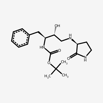 CC(C)(C)OC(=O)N[C@@H](Cc1ccccc1)[C@H](O)CN[C@H]1CCNC1=O